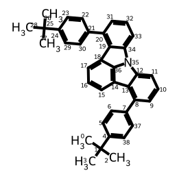 CC(C)(C)c1ccc(-c2cccc3c2c2cccc4c5c(-c6ccc(C(C)(C)C)cc6)cccc5n3c24)cc1